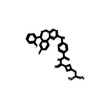 CN(C)CC1CN(C(=N)NC(=O)c2ccc(Nc3ncc4c(n3)-c3ccc(I)cc3C(c3ccccc3F)=NC4)cc2)C1